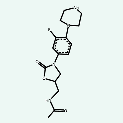 CC(=O)NCC1CN(c2ccc(N3CCNCC3)c(F)c2)C(=O)O1